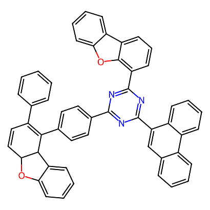 C1=CC2Oc3ccccc3C2C(c2ccc(-c3nc(-c4cc5ccccc5c5ccccc45)nc(-c4cccc5c4oc4ccccc45)n3)cc2)=C1c1ccccc1